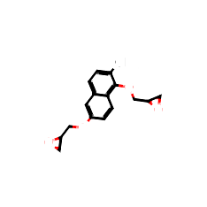 Cc1ccc2cc(OCC3CO3)ccc2c1OCC1CO1